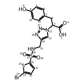 O=C(O)C(Cc1ccc(O)cc1)n1cc(CNS(=O)(=O)c2ccc(Br)s2)nn1